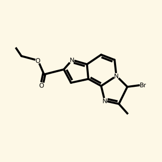 CCOC(=O)c1cc2c3n(ccc-2n1)C(Br)C(C)=N3